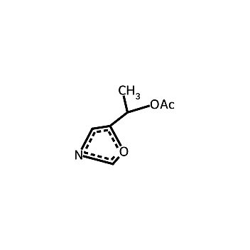 CC(=O)OC(C)c1cnco1